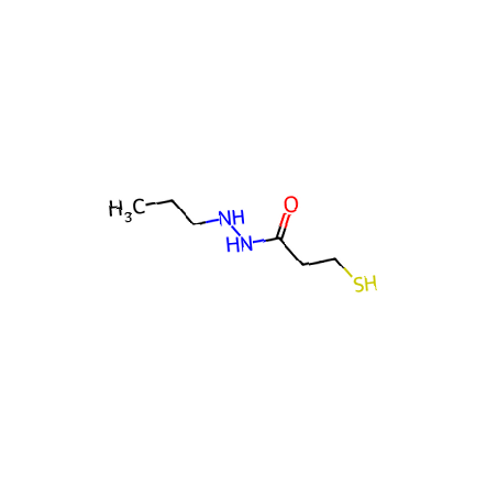 CCCNNC(=O)CCS